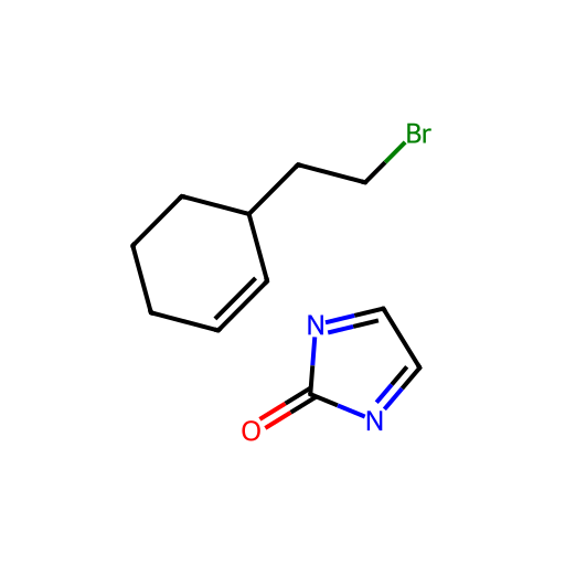 BrCCC1C=CCCC1.O=C1N=CC=N1